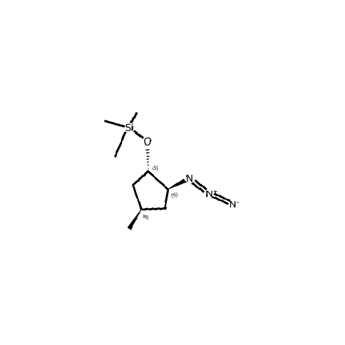 C[C@@H]1C[C@H](N=[N+]=[N-])[C@@H](O[Si](C)(C)C)C1